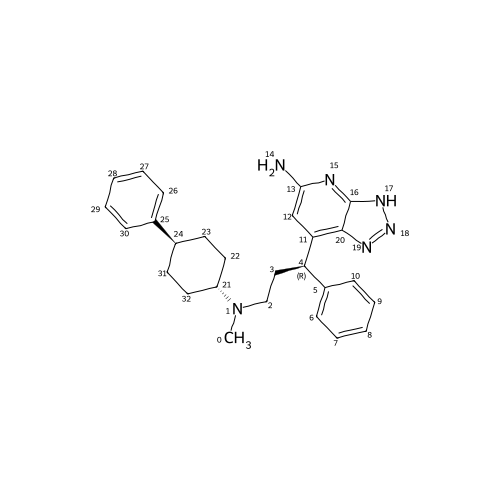 CN(CC[C@H](c1ccccc1)c1cc(N)nc2[nH]nnc12)[C@H]1CC[C@H](c2ccccc2)CC1